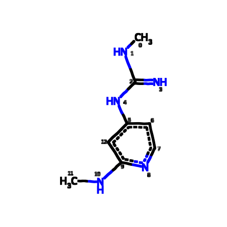 CNC(=N)Nc1ccnc(NC)c1